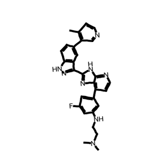 Cc1ccncc1-c1ccc2[nH]nc(-c3nc4c(-c5cc(F)cc(NCCN(C)C)c5)ccnc4[nH]3)c2c1